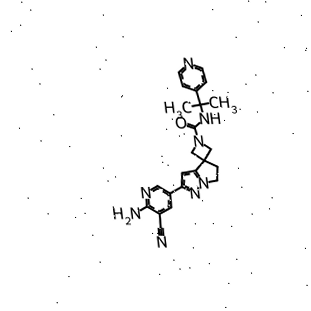 CC(C)(NC(=O)N1CC2(CCn3nc(-c4cnc(N)c(C#N)c4)cc32)C1)c1ccncc1